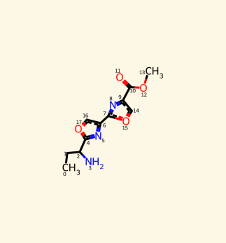 CCC(N)c1nc(-c2nc(C(=O)OC)co2)co1